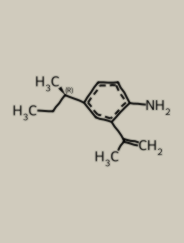 C=C(C)c1cc([C@H](C)CC)ccc1N